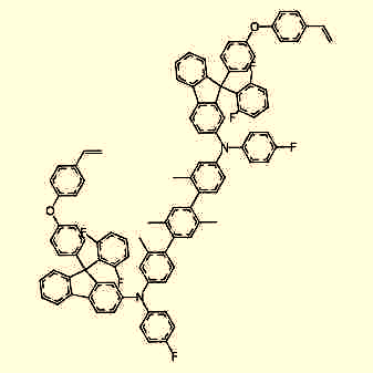 C=Cc1ccc(Oc2ccc(C3(c4c(F)cccc4F)c4ccccc4-c4ccc(N(c5ccc(F)cc5)c5ccc(-c6cc(C)c(-c7ccc(N(c8ccc(F)cc8)c8ccc9c(c8)C(c8ccc(Oc%10ccc(C=C)cc%10)cc8)(c8c(F)cccc8F)c8ccccc8-9)cc7C)cc6C)c(C)c5)cc43)cc2)cc1